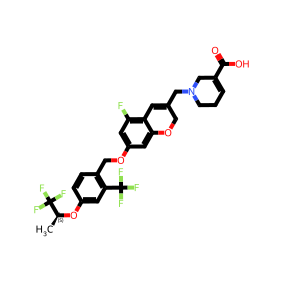 C[C@H](Oc1ccc(COc2cc(F)c3c(c2)OCC(CN2CCC=C(C(=O)O)C2)=C3)c(C(F)(F)F)c1)C(F)(F)F